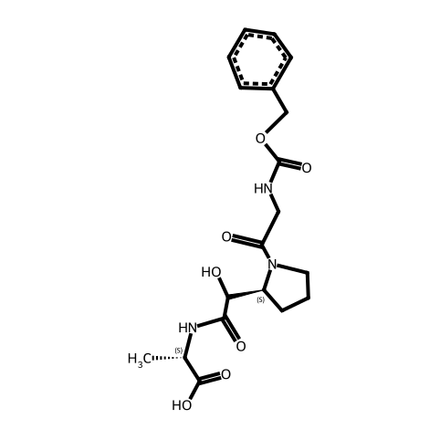 C[C@H](NC(=O)C(O)[C@@H]1CCCN1C(=O)CNC(=O)OCc1ccccc1)C(=O)O